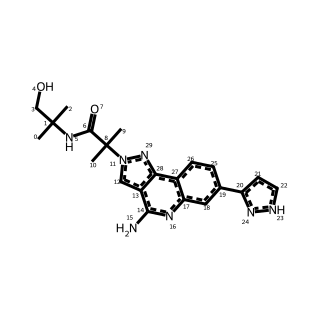 CC(C)(CO)NC(=O)C(C)(C)n1cc2c(N)nc3cc(-c4cc[nH]n4)ccc3c2n1